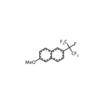 COc1ccc2cc(C(F)(C(F)(F)F)C(F)(F)F)ccc2c1